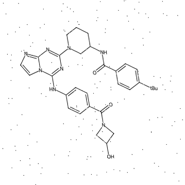 CC(C)(C)c1ccc(C(=O)NC2CCCN(c3nc(Nc4ccc(C(=O)N5CC(O)C5)cc4)n4ccnc4n3)C2)cc1